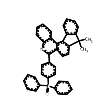 CC1(C)c2ccccc2-c2c1ccc1c(-c3ccc(P(=O)(c4ccccc4)c4ccccc4)cc3)nc3ccccc3c21